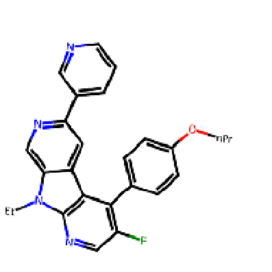 CCCOc1ccc(-c2c(F)cnc3c2c2cc(-c4cccnc4)ncc2n3CC)cc1